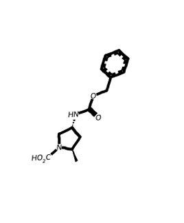 C[C@@H]1C[C@@H](NC(=O)OCc2ccccc2)CN1C(=O)O